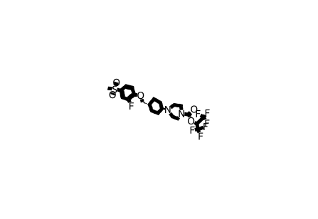 CS(=O)(=O)c1ccc(OC[C@H]2CC[C@H](N3CCN(C(=O)OC(C(F)(F)F)C(F)(F)F)CC3)CC2)c(F)c1